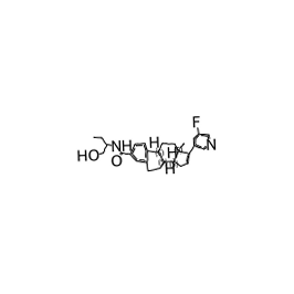 CCC(CO)NC(=O)c1ccc2c(c1)CC[C@@H]1[C@@H]2CC[C@]2(C)C(c3cncc(F)c3)=CC[C@@H]12